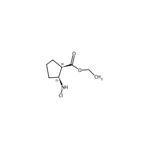 CCOC(=O)[C@@H]1CCC[C@@H]1NCl